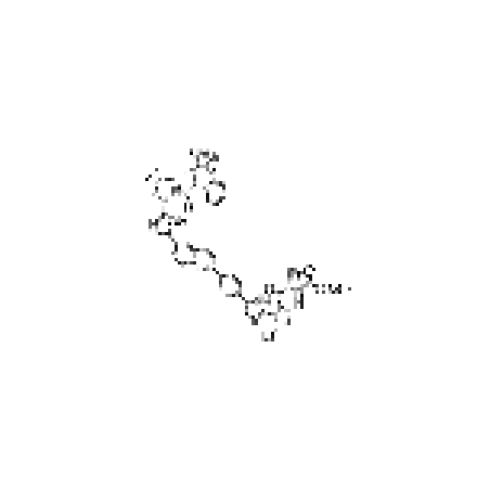 CCC1CCN(C(=O)[C@@H](NC(=O)OC)C(C)C)C1C1=NCC(c2ccc(-c3ccc4cc(-c5cnc([C@@H]6CC7(CC7)CN6C(=O)C(NC(=O)OC)c6ccccc6)[nH]5)ccc4c3)cc2)N1